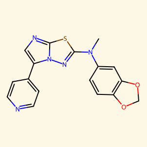 CN(c1ccc2c(c1)OCO2)c1nn2c(-c3ccncc3)cnc2s1